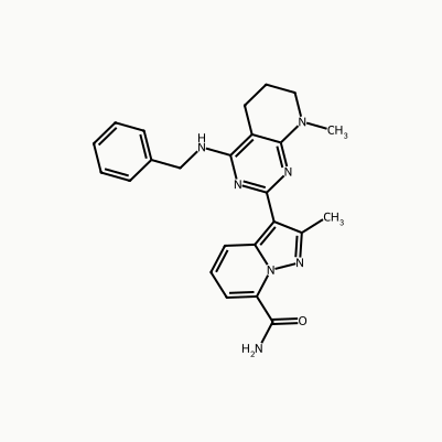 Cc1nn2c(C(N)=O)cccc2c1-c1nc(NCc2ccccc2)c2c(n1)N(C)CCC2